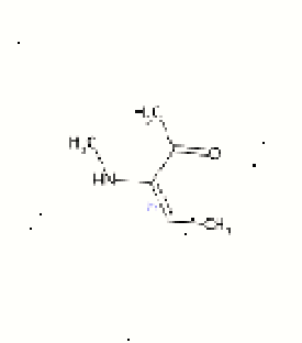 C/C=C(/NC)C(C)=O